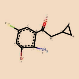 Nc1c(Br)cc(F)cc1C(=O)CC1CC1